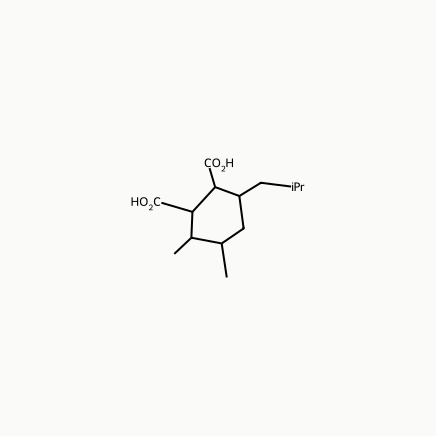 CC(C)CC1CC(C)C(C)C(C(=O)O)C1C(=O)O